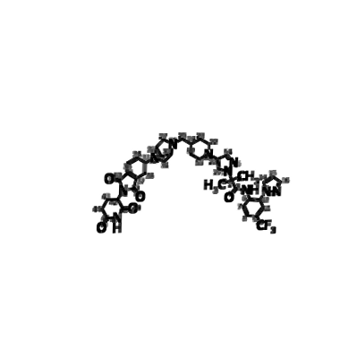 CC(C)(C(=O)Nc1ccc(C(F)(F)F)cc1-n1cccn1)n1cc(N2CCC(CN3CC4CC3CN4c3ccc4c(c3)C(=O)N(C3CCC(=O)NC3=O)C4=O)CC2)cn1